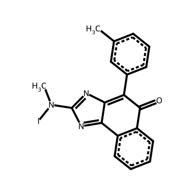 Cc1cccc(C2=C3N=C(N(C)I)N=C3c3ccccc3C2=O)c1